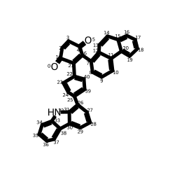 O=C1C=CC(=O)C(c2cccc3c2ccc2ccccc23)=C1c1ccc(-c2cccc3c2[nH]c2ccccc23)cc1